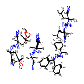 CC(C)(C#N)N=NC(C)(C)C#N.CC(C)CC(C)(C#N)N=NC(C)(C#N)CC(C)C.CC(N=NC(c1ccccc1)c1ccccc1)c1ccccc1.COC(C)(C)CC(C)(C#N)N=NC(C)(C#N)CC(C)(C)OC